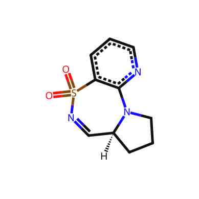 O=S1(=O)N=C[C@@H]2CCCN2c2ncccc21